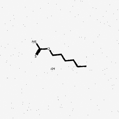 CCCCCCOC(=S)S.[KH]